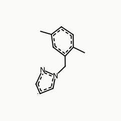 Cc1ccc(C)c(Cn2c[c]cn2)c1